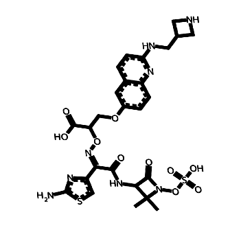 CC1(C)C(NC(=O)C(=NOC(COc2ccc3nc(NCC4CNC4)ccc3c2)C(=O)O)c2csc(N)n2)C(=O)N1OS(=O)(=O)O